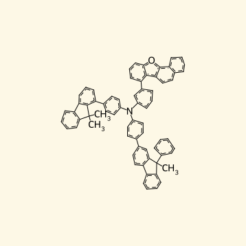 CC1(C)c2ccccc2-c2cccc(-c3ccc(N(c4ccc(-c5ccc6c(c5)C(C)(c5ccccc5)c5ccccc5-6)cc4)c4cccc(-c5cccc6oc7c8ccccc8ccc7c56)c4)cc3)c21